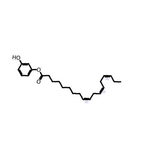 CC/C=C\C/C=C\C/C=C\CCCCCCCC(=O)Oc1cccc(O)c1